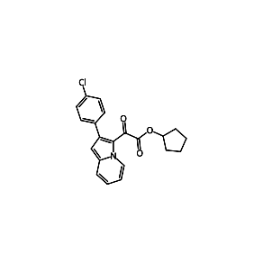 O=C(OC1CCCC1)C(=O)c1c(-c2ccc(Cl)cc2)cc2ccccn12